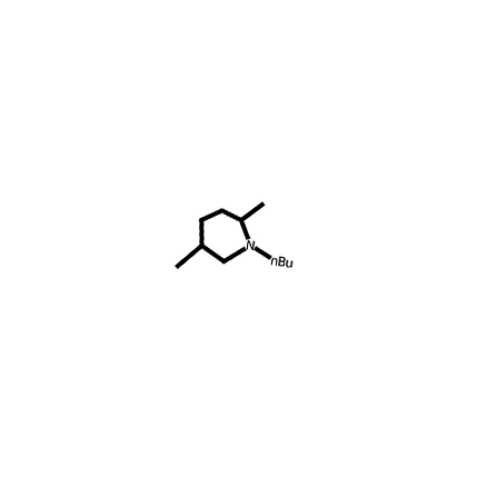 CCCCN1CC(C)CCC1C